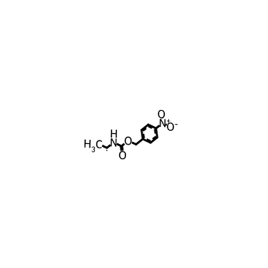 C[CH]NC(=O)OCc1ccc([N+](=O)[O-])cc1